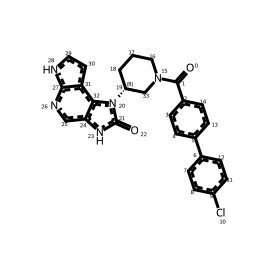 O=C(c1ccc(-c2ccc(Cl)cc2)cc1)N1CCC[C@@H](n2c(=O)[nH]c3cnc4[nH]ccc4c32)C1